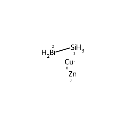 [Cu].[SiH3][BiH2].[Zn]